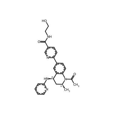 CC(=O)N1c2ccc(-c3ccc(C(=O)NCCO)cn3)cc2[C@H](Nc2ccccn2)C[C@@H]1C